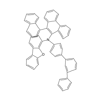 c1ccc(-c2cccc(-c3ccc(N(c4c(-c5cccc6ccccc56)c5ccccc5c5ccccc45)c4cccc5c4oc4ccccc45)cc3)c2)cc1